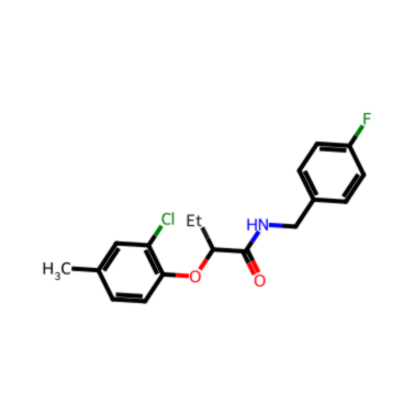 CCC(Oc1ccc(C)cc1Cl)C(=O)NCc1ccc(F)cc1